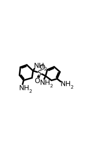 NC1=CC=CC(N)(S(=O)(=O)C2(N)C=CC=C(N)C2)C1